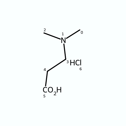 CN(C)CCC(=O)O.Cl